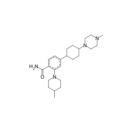 CC1CCN(c2cc(C3CCC(N4CCN(C)CC4)CC3)ccc2C(N)=O)CC1